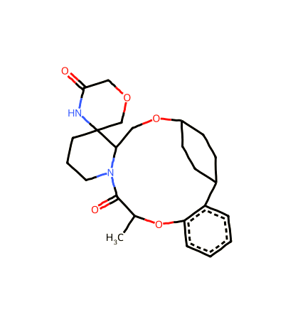 CC1Oc2ccccc2C2CCC(CC2)OCC2N(CCCC23COCC(=O)N3)C1=O